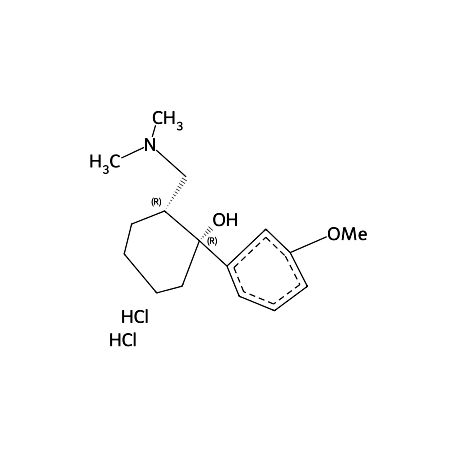 COc1cccc([C@@]2(O)CCCC[C@@H]2CN(C)C)c1.Cl.Cl